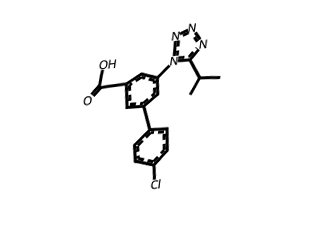 CC(C)c1nnnn1-c1cc(C(=O)O)cc(-c2ccc(Cl)cc2)c1